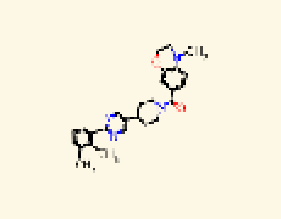 Cc1cccc(-c2ncc(C3CCN(C(=O)c4ccc5c(c4)OCCN5C)CC3)cn2)c1C